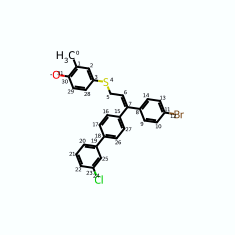 Cc1cc(SC/C=C(/c2ccc(Br)cc2)c2ccc(-c3cccc(Cl)c3)cc2)ccc1[O]